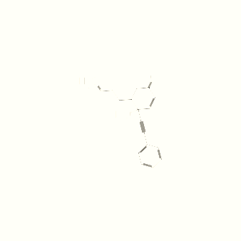 C=CCCC1CC(=O)C=CC1(O)C#Cc1ccccc1